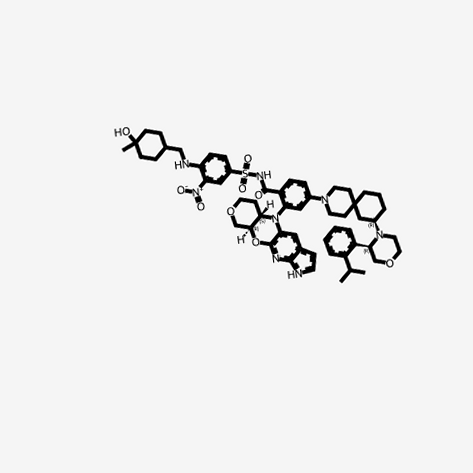 CC(C)c1ccccc1[C@@H]1COCCN1[C@@H]1CCCC2(CCN(c3ccc(C(=O)NS(=O)(=O)c4ccc(NCC5CCC(C)(O)CC5)c([N+](=O)[O-])c4)c(N4c5cc6cc[nH]c6nc5O[C@H]5COCC[C@@H]54)c3)CC2)C1